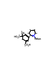 CC1(C(=O)O)C=CC=C(C(=O)O)C1.CCCCCCCCCN1CCCCC1